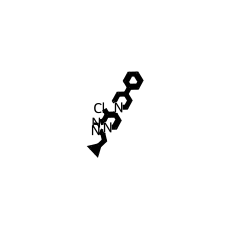 Clc1c(N2CCC(c3ccccc3)CC2)ccn2c(CC3CC3)nnc12